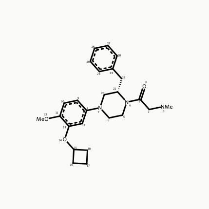 CNCC(=O)N1CCN(c2ccc(OC)c(OC3CCC3)c2)C[C@@H]1Cc1ccccc1